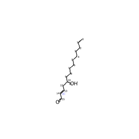 CCCCCCCCCCC(O)C/C=C/C=O